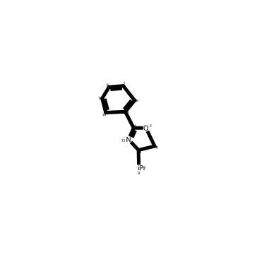 CC(C)C1COC(c2cc[c]cc2)=N1